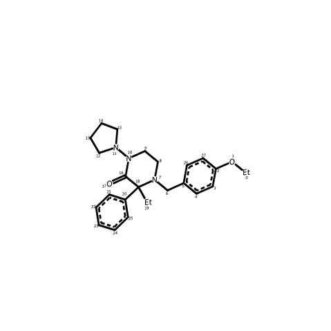 CCOc1ccc(CN2CCN(N3CCCC3)C(=O)C2(CC)c2ccccc2)cc1